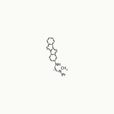 CC(C)N(C)/C=C\Nc1ccc2c(c1)sc1c3ccccc3sc21